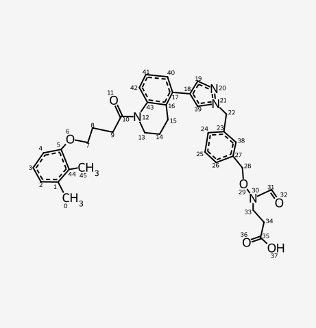 Cc1cccc(OCCCC(=O)N2CCCc3c(-c4cnn(Cc5cccc(CON(C=O)CCC(=O)O)c5)c4)cccc32)c1C